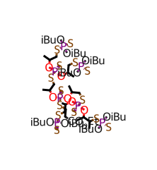 CCOC(=O)CCSP(=S)(OC(C)CSP(=S)(OC(C)CSP(=S)(OCC(C)C)OCC(C)C)OC(C)CSP(=S)(OCC(C)C)OCC(C)C)OC(C)CSP(=S)(OC(C)CSP(=S)(OCC(C)C)OCC(C)C)OC(C)C(C)SP(=S)(OCC(C)C)OCC(C)C